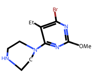 CCc1c(Br)nc(OC)nc1N1CCNCC1